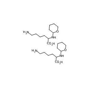 NCCCCC(NC1CCCCO1)C(=O)O.NCCCCC(NC1CCCCO1)C(=O)O